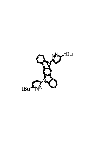 CC(C)(C)c1ccc(-n2c3ccccc3c3cc4c(cc32)c2ccccc2n4-c2ccc(C(C)(C)C)nn2)nn1